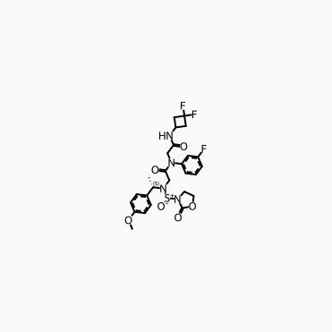 COc1ccc([C@H](C)N(CC(=O)N(CC(=O)NC2CC(F)(F)C2)c2cccc(F)c2)[S+]([O-])N2CCOC2=O)cc1